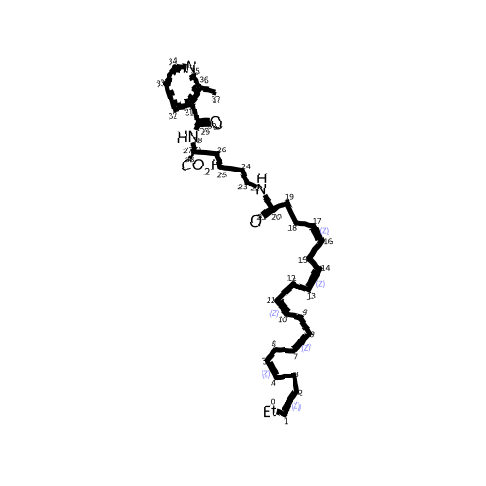 CC/C=C\C/C=C\C/C=C\C/C=C\C/C=C\C/C=C\CCC(=O)NCCCC[C@H](NC(=O)c1cccnc1C)C(=O)O